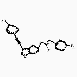 CCCc1ccc(C#Cc2coc3ccc(C[NH+]([O-])Cc4ccc(C(F)(F)F)cc4)cc23)cc1